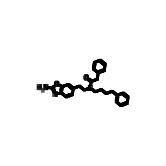 Nc1nc2ccc(CCN(CCCCc3ccccc3)C(=O)Cc3ccccc3)cc2o1